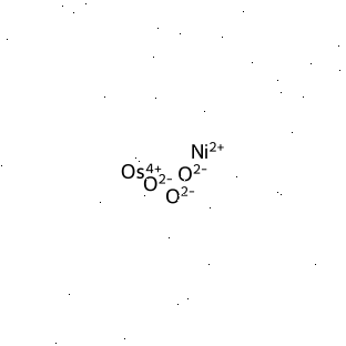 [Ni+2].[O-2].[O-2].[O-2].[Os+4]